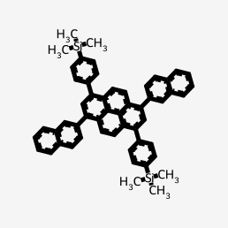 C[Si](C)(C)c1ccc(-c2cc(-c3ccc4ccccc4c3)c3ccc4c(-c5ccc([Si](C)(C)C)cc5)cc(-c5ccc6ccccc6c5)c5ccc2c3c45)cc1